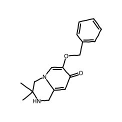 CC1(C)Cn2cc(OCc3ccccc3)c(=O)cc2CN1